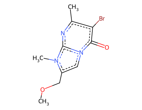 COCc1cn2c(=O)c(Br)c(C)nc2n1C